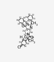 Cc1nc2c(c(=O)n1C(c1ccccc1)c1ccccc1)CCN(C(=O)C(C)(C)c1ccc(Cl)cc1)C2